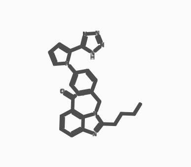 CCCCc1nc2cccc(C(=O)O)c2n1Cc1ccc(-n2cccc2-c2nnn[nH]2)cc1